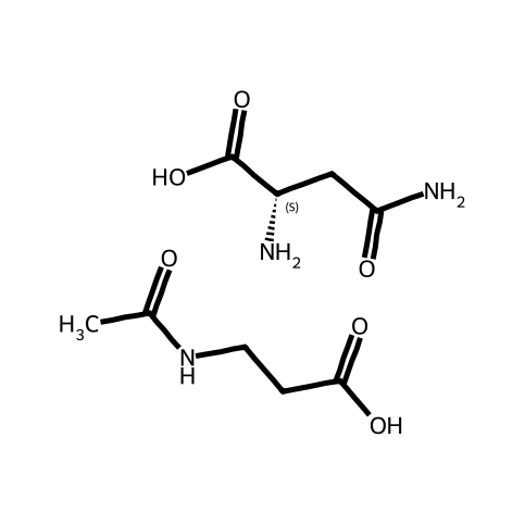 CC(=O)NCCC(=O)O.NC(=O)C[C@H](N)C(=O)O